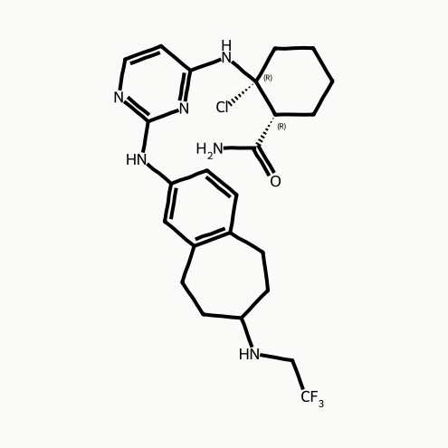 NC(=O)[C@H]1CCCC[C@]1(Cl)Nc1ccnc(Nc2ccc3c(c2)CCC(NCC(F)(F)F)CC3)n1